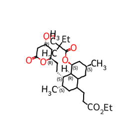 CCOC(=O)CCC1C[C@H](C)[C@H](CC[C@@H]2C[C@@H](O)CC(=O)O2)[C@@H]2C1C[C@H](C)C[C@@H]2OC(=O)C(C)(C)CC